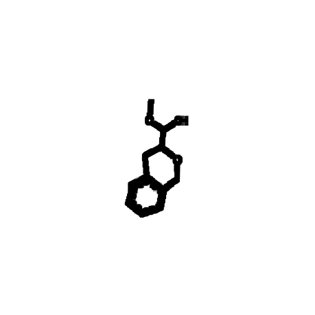 COC(O)C1Cc2ccccc2CO1